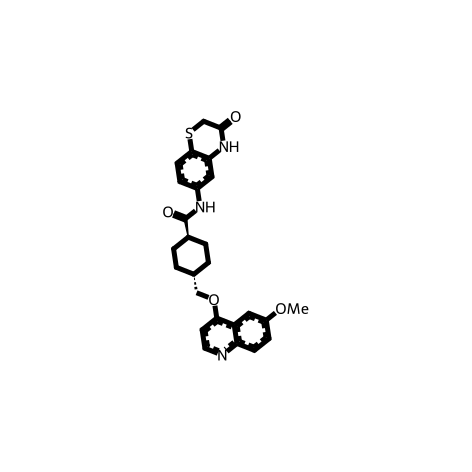 COc1ccc2nccc(OC[C@H]3CC[C@H](C(=O)Nc4ccc5c(c4)NC(=O)CS5)CC3)c2c1